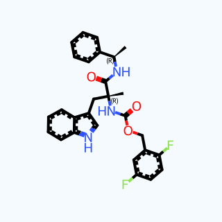 C[C@@H](NC(=O)[C@@](C)(Cc1c[nH]c2ccccc12)NC(=O)OCc1cc(F)ccc1F)c1ccccc1